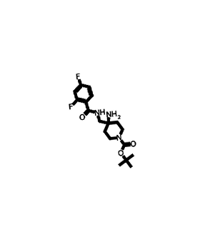 CC(C)(C)OC(=O)N1CCC(N)(CNC(=O)c2ccc(F)cc2F)CC1